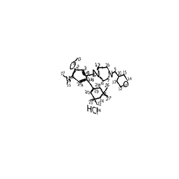 COc1cc(N2CCN(CC3CCOCC3)CC2)c(C2CC(C)(C)CC(C)(C)C2)cc1N(C)C.Cl